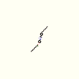 CCCCCCCCc1ccc(-c2cnc(-c3ccc(OCC(F)CCCCCCCC)cc3)nc2)cc1